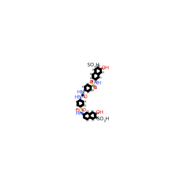 O=C(Nc1ccc(S(=O)(=O)Nc2ccc3cc(S(=O)(=O)O)c(O)cc3c2)cc1)Nc1ccc(S(=O)(=O)Nc2ccc3cc(S(=O)(=O)O)c(O)cc3c2)cc1